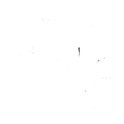 CCCCC1(CCCC)[C@H](O)[C@H](c2cccc(OC)c2)c2cc(N(C)C)ccc2SN1C